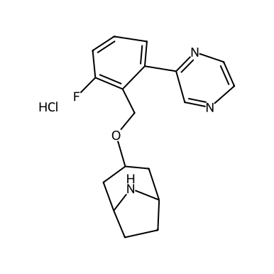 Cl.Fc1cccc(-c2cnccn2)c1COC1CC2CCC(C1)N2